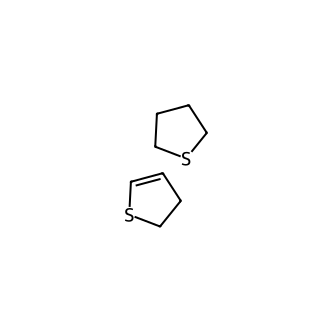 C1=CSCC1.C1CCSC1